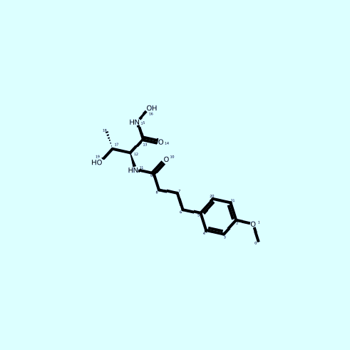 COc1ccc(CCCC(=O)N[C@H](C(=O)NO)[C@@H](C)O)cc1